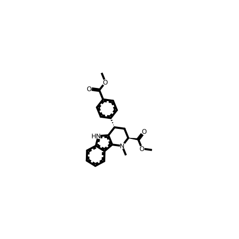 COC(=O)c1ccc([C@@H]2C[C@@H](C(=O)OC)N(C)c3c2[nH]c2ccccc32)cc1